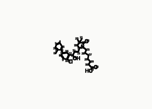 Cc1ccccc1-c1ccc(Cl)c([C@H](O)/C=C/C2CC(C)(C)C(=O)N2CCCCCCC(=O)O)c1